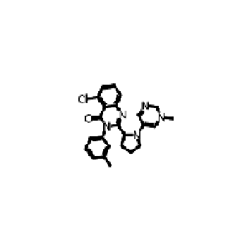 Cc1cccc(-n2c(C3CCCN3C3=CN(C)CN=C3)nc3cccc(Cl)c3c2=O)c1